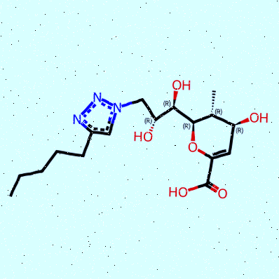 CCCCCc1cn(C[C@@H](O)[C@@H](O)[C@@H]2OC(C(=O)O)=C[C@H](O)[C@H]2C)nn1